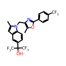 Cc1oc(-c2ccc(C(F)(F)F)cc2)nc1Cn1c(C)cc2cc(C(O)(C(F)(F)F)C(F)(F)F)ccc21